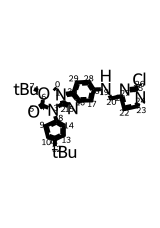 Cn1c(N(C(=O)OC(C)(C)C)c2ccc(C(C)(C)C)cc2)nc2cc(NCc3ccnc(Cl)n3)ccc21